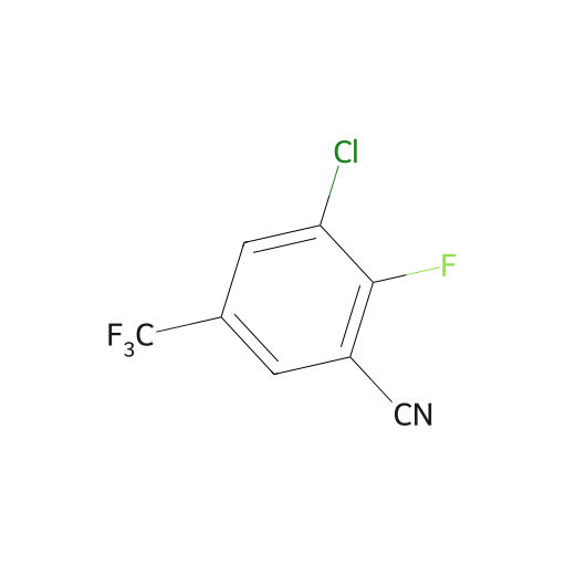 N#Cc1cc(C(F)(F)F)cc(Cl)c1F